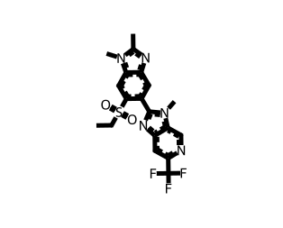 CCS(=O)(=O)c1cc2c(cc1-c1nc3cc(C(F)(F)F)ncc3n1C)nc(C)n2C